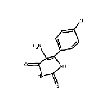 Nc1c(-c2ccc(Cl)cc2)[nH]c(=S)[nH]c1=O